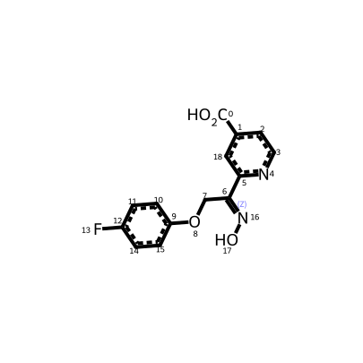 O=C(O)c1ccnc(/C(COc2ccc(F)cc2)=N/O)c1